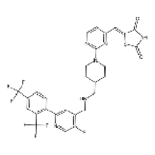 O=C1NC(=O)C(=Cc2ccnc(N3CCC(CNCc4cc(-c5ccc(C(F)(F)F)cc5C(F)(F)F)ncc4F)CC3)n2)S1